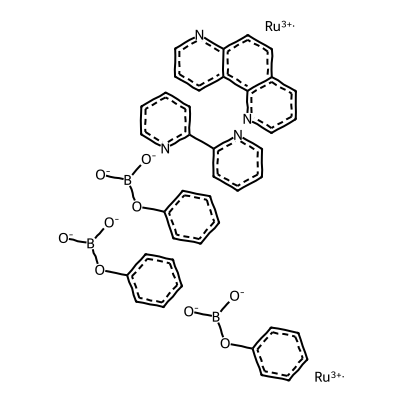 [O-]B([O-])Oc1ccccc1.[O-]B([O-])Oc1ccccc1.[O-]B([O-])Oc1ccccc1.[Ru+3].[Ru+3].c1ccc(-c2ccccn2)nc1.c1cnc2c(c1)ccc1ncccc12